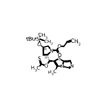 C=CCOC(=O)N1C[C@H](O[Si](C)(C)C(C)(C)C)C[C@H]1C(OC(C)=S)c1sc2cncn2c1C